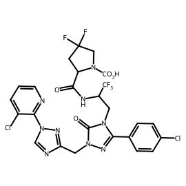 O=C(NC(Cn1c(-c2ccc(Cl)cc2)nn(Cc2ncn(-c3ncccc3Cl)n2)c1=O)C(F)(F)F)C1CC(F)(F)CN1C(=O)O